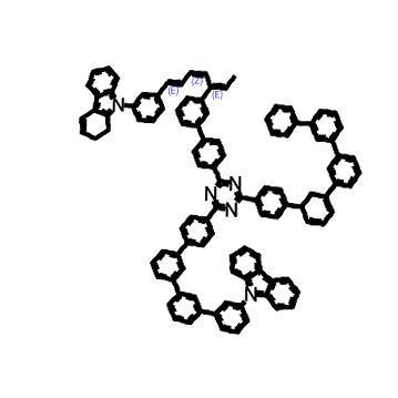 C\C=C(/C=C\C=C\c1cccc(-n2c3c(c4ccccc42)C=CCC3)c1)c1cccc(-c2ccc(-c3nc(-c4ccc(-c5cccc(-c6cccc(-c7cccc(-n8c9ccccc9c9ccccc98)c7)c6)c5)cc4)nc(-c4ccc(C5C=CC=C(c6cccc(-c7cccc(-c8ccccc8)c7)c6)C5)cc4)n3)cc2)c1